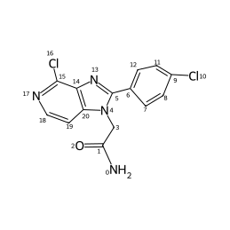 NC(=O)Cn1c(-c2ccc(Cl)cc2)nc2c(Cl)nccc21